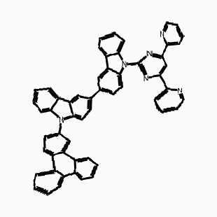 c1ccc(-c2cc(-c3ccccn3)nc(-n3c4ccccc4c4cc(-c5ccc6c(c5)c5ccccc5n6-c5ccc6c7ccccc7c7ccccc7c6c5)ccc43)n2)nc1